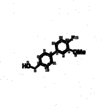 COc1cc(-c2ccc(CO)nc2)ccc1F